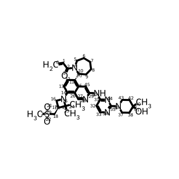 C=CC(=O)N1CCCCC[C@@H]1c1ccc(N2C[C@H](CS(C)(=O)=O)C2(C)C)c2cnc(Nc3ccnc(N4CCC(C)(O)CC4)n3)cc12